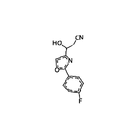 N#CCC(O)c1coc(-c2ccc(F)cc2)n1